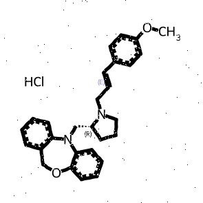 COc1ccc(/C=C/CN2CCC[C@@H]2CN2c3ccccc3COc3ccccc32)cc1.Cl